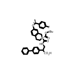 C[C@H](Oc1ccc2c(c1)C[N+](C(=O)NCC(C(=O)O)c1ccc(-c3ccccc3)cc1)(C(=O)OC(C)(C)C)CC2)c1ccc(F)cc1